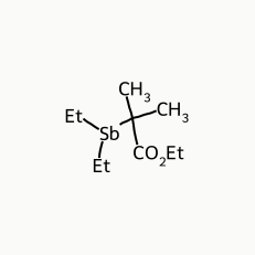 CCOC(=O)[C](C)(C)[Sb]([CH2]C)[CH2]C